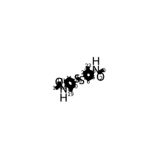 CC(=O)Nc1ccc(SSc2ccc(NC(C)=O)c(C)c2)cc1C